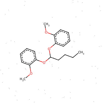 CCCCC(Oc1ccccc1OC)Oc1ccccc1OC